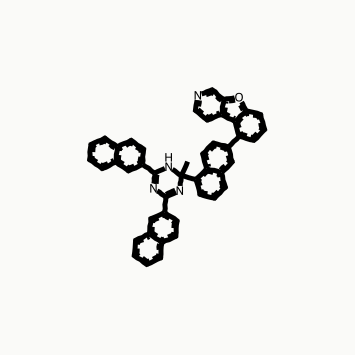 CC1(c2cccc3cc(-c4cccc5oc6cnccc6c45)ccc23)N=C(c2ccc3ccccc3c2)N=C(c2ccc3ccccc3c2)N1